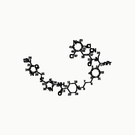 CCCC(c1ccc(CCCN2CCC(C(=O)Nc3ncc(SCc4ncc(C(C)(C)C)o4)s3)CC2)cc1)N(C)C(=O)/C(C#N)=C/c1c(Cl)cncc1Cl